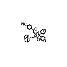 CN1C(=CC(=O)c2ccc(C#N)cc2)N(CCC23CC4CC(CC(C4)C2)C3)C(=O)C1(c1ccncc1)c1ccncc1